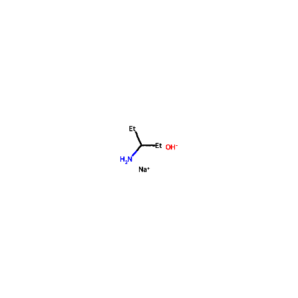 CCC(N)CC.[Na+].[OH-]